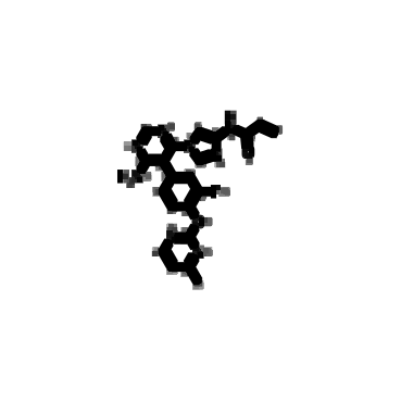 C=CC(=O)Nc1cn(-c2ncnc(N)c2-c2ccc(Oc3nccc(C)n3)c(F)c2)cn1